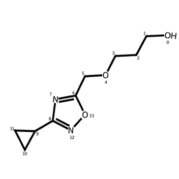 OCCCOCc1nc(C2CC2)no1